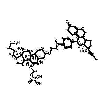 CC#C[C@@]1(O)CCC2C3CCC4=CC(=O)CCC4=C3C(c3ccc(N(C)CCO[C@H]4CC[C@@]5(C)[C@@H](C4)C[C@@H](OCOP(=O)(O)O)[C@@H]4[C@@H]5C[C@H](O)[C@]5(C)[C@@H]([C@H](C)CCC(=O)O)CC[C@@H]45)cc3)C[C@@]21C